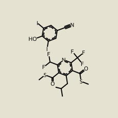 CSC(=O)c1c(C(F)F)nc(C(F)(F)F)c(C(=O)SC)c1CC(C)C.N#Cc1cc(I)c(O)c(I)c1